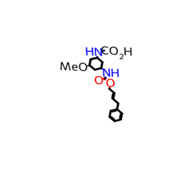 CO[C@H]1C[C@@H](NC(=O)O)C[C@@H](NC(=O)OCC=CCc2ccccc2)C1